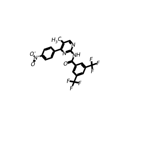 Cc1cnc(NC(=O)c2cc(C(F)(F)F)cc(C(F)(F)F)c2)nc1-c1ccc([N+](=O)[O-])cc1